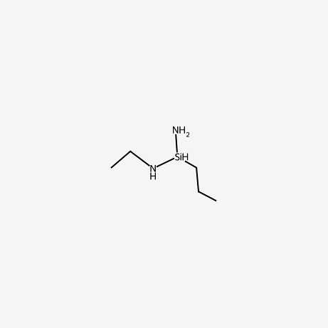 CCC[SiH](N)NCC